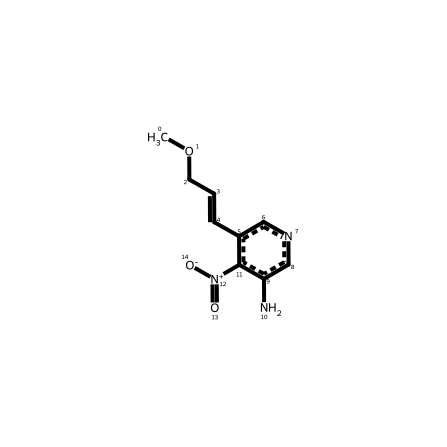 COC/C=C/c1cncc(N)c1[N+](=O)[O-]